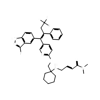 CN(C)C(=O)/C=C/CNC1(COc2ccc(/C(=C(/CC(F)(F)F)c3ccccc3)c3ccc4[nH]nc(F)c4c3)cn2)CCCCC1